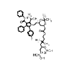 CC(C)c1c(C(=O)Nc2ccccc2)c(-c2ccccc2)c(-c2ccc(F)cc2)n1CC[C@@H]1C[C@H](CC(=O)OCCC(C)(C)CC(CON(O)O)ON(O)O)OC(C)(C)O1